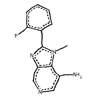 Cn1c(-c2ccccc2F)nc2cncc(N)c21